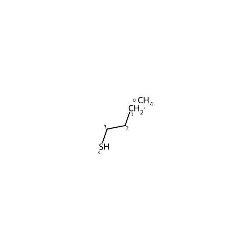 C.[CH2]CCS